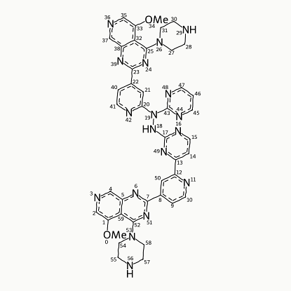 COc1cncc2nc(-c3ccnc(-c4ccnc(NN(c5cc(-c6nc(N7CCNCC7)c7c(OC)cncc7n6)ccn5)c5ncccn5)n4)c3)nc(N3CCNCC3)c12